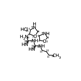 C1COCN1.C1COCN1.CCCCNC(=N)NC(=N)N.Cl